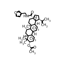 C=C(C)[C@@H]1CC[C@]2(C(=O)NCc3ccoc3)CC[C@]3(C)[C@H](CC[C@@H]4[C@@]5(C)CC[C@H](OC(C)=O)C(C)(C)[C@@H]5CC[C@]43C)[C@@H]12